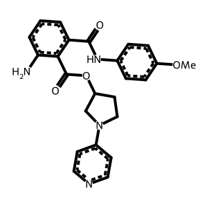 COc1ccc(NC(=O)c2cccc(N)c2C(=O)OC2CCN(c3ccncc3)C2)cc1